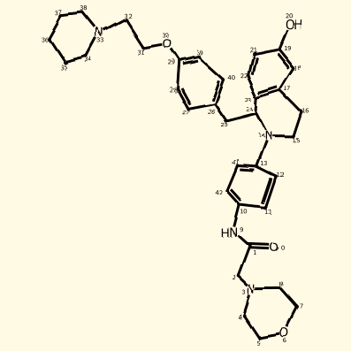 O=C(CN1CCOCC1)Nc1ccc(N2CCc3cc(O)ccc3C2Cc2ccc(OCCN3CCCCC3)cc2)cc1